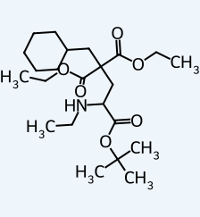 CCNC(CC(CC1CCCCC1)(C(=O)OCC)C(=O)OCC)C(=O)OC(C)(C)C